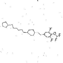 Fc1cc(CC[C@H]2CC[C@H](CCCCCCC3CCCC3)CC2)cc(F)c1OC(F)F